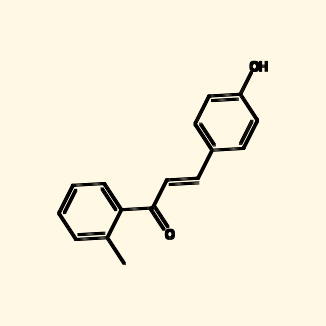 Cc1ccccc1C(=O)C=Cc1ccc(O)cc1